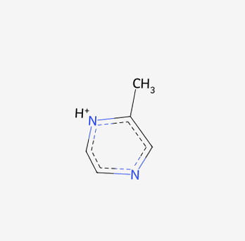 Cc1cnccn1.[H+]